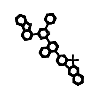 CC1(C)c2cc(-c3ccc(-c4nc(-c5ccccc5)cc(-c5cccc6c5oc5ccccc56)n4)c4ccccc34)ccc2-c2cc3ccccc3cc21